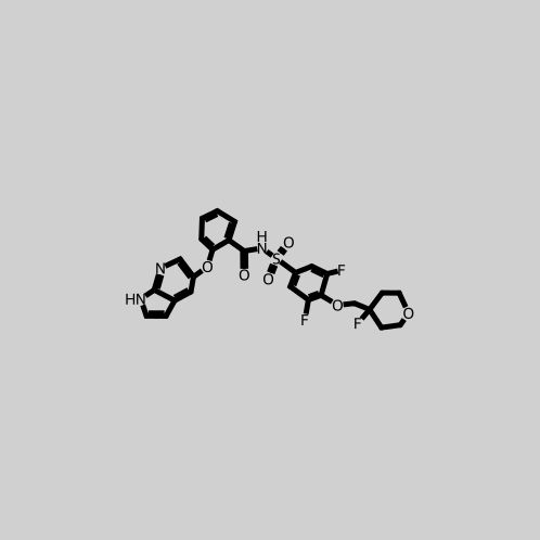 O=C(NS(=O)(=O)c1cc(F)c(OCC2(F)CCOCC2)c(F)c1)c1ccccc1Oc1cnc2[nH]ccc2c1